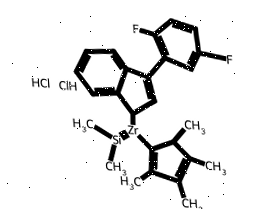 CC1=C(C)C(C)[C]([Zr]([CH]2C=C(c3cc(F)ccc3F)c3ccccc32)=[Si](C)C)=C1C.Cl.Cl